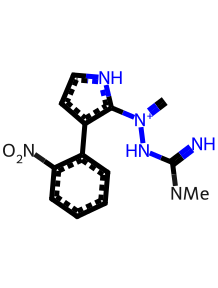 C=[N+](NC(=N)NC)c1[nH]ccc1-c1ccccc1[N+](=O)[O-]